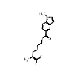 CC(CCCCOC(=O)c1ccc2c(ccn2C)c1)=C(F)F